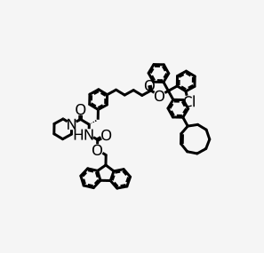 O=C(CCCCc1cccc(C[C@H](NC(=O)OCC2c3ccccc3-c3ccccc32)C(=O)N2CCCCC2)c1)OC(c1ccccc1)(c1ccc(C2/C=C\CCCCCC2)cc1)c1ccccc1Cl